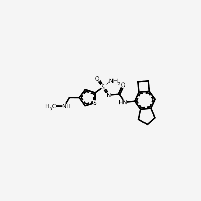 CNCc1csc([S@@](N)(=O)=NC(=O)Nc2c3c(cc4c2CC4)CCC3)c1